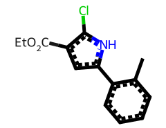 CCOC(=O)c1cc(-c2ccccc2C)[nH]c1Cl